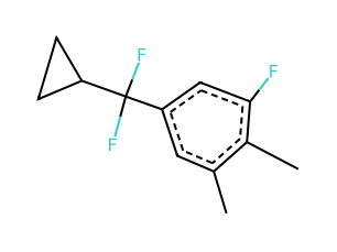 Cc1cc(C(F)(F)C2CC2)cc(F)c1C